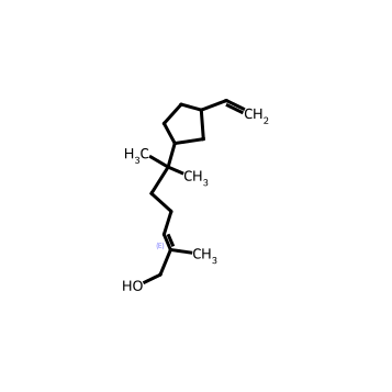 C=CC1CCC(C(C)(C)CC/C=C(\C)CO)C1